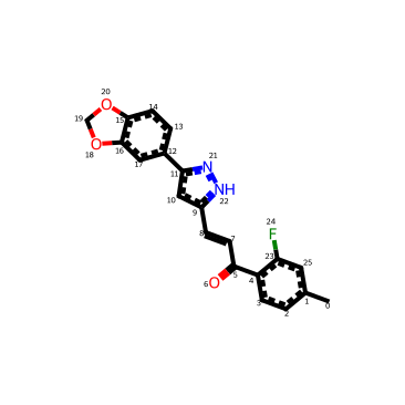 Cc1ccc(C(=O)/C=C/c2cc(-c3ccc4c(c3)OCO4)n[nH]2)c(F)c1